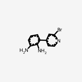 Nc1cccc(-c2ccnc(Br)c2)c1N